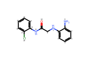 Nc1ccccc1NCC(=O)Nc1ccccc1Cl